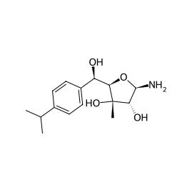 CC(C)c1ccc([C@@H](O)[C@H]2O[C@@H](N)[C@H](O)[C@]2(C)O)cc1